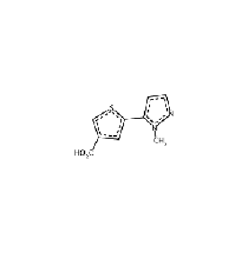 Cn1nccc1-c1cc(C(=O)O)cs1